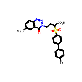 CCc1ccc(-c2ccc(S(=O)(=O)C(CCn3nnc4ccc(OC)cc4c3=O)C(=O)O)cc2)cc1